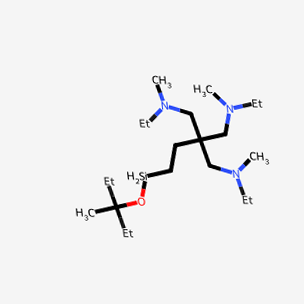 CCN(C)CC(CC[SiH2]OC(C)(CC)CC)(CN(C)CC)CN(C)CC